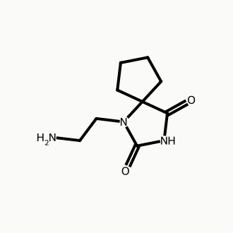 NCCN1C(=O)NC(=O)C12CCCC2